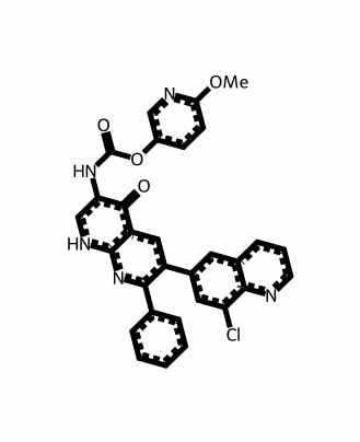 COc1ccc(OC(=O)Nc2c[nH]c3nc(-c4ccccc4)c(-c4cc(Cl)c5ncccc5c4)cc3c2=O)cn1